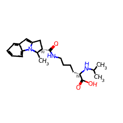 CC(C)N[C@@H](CCCCNC(=O)[C@H]1Cc2cc3ccccc3n2C1C)C(=O)O